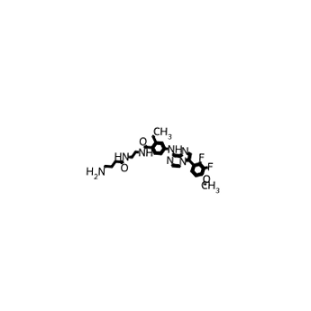 CCc1cc(Nc2nccn3c(-c4ccc(OC)c(F)c4F)cnc23)ccc1C(=O)NCCNC(=O)CCCN